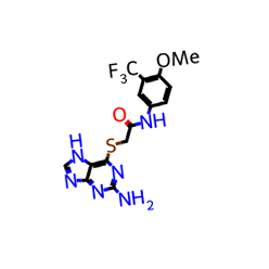 COc1ccc(NC(=O)CSc2nc(N)nc3nc[nH]c23)cc1C(F)(F)F